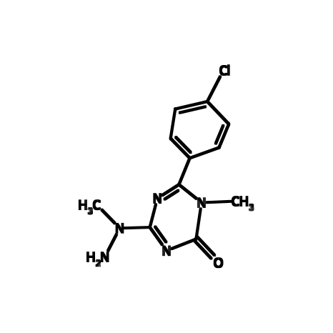 CN(N)c1nc(-c2ccc(Cl)cc2)n(C)c(=O)n1